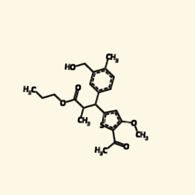 CCCOC(=O)C(C)C(c1ccc(C)c(CO)c1)c1cc(OC)c(C(C)=O)s1